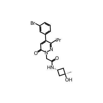 CC(C)c1nn(CC(=O)N[C@H]2C[C@](C)(O)C2)c(=O)cc1-c1cccc(Br)c1